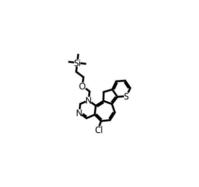 C[Si](C)(C)CCOCN1CN=CC2=C(Cl)C=CC3=C4SC=CC=C4CC3=C21